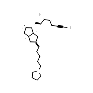 CC#CC[C@@H](C)[C@H](O)C=C[C@@H]1[C@H]2CC(=CCCCCN3CCCC3)C[C@H]2C[C@H]1O